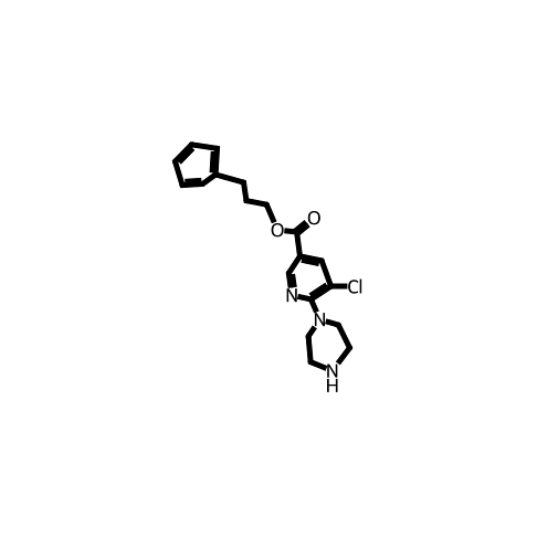 O=C(OCCCc1ccccc1)c1cnc(N2CCNCC2)c(Cl)c1